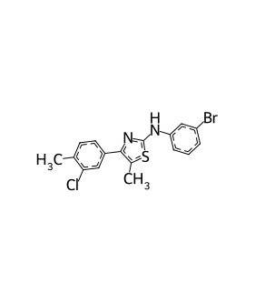 Cc1ccc(-c2nc(Nc3cccc(Br)c3)sc2C)cc1Cl